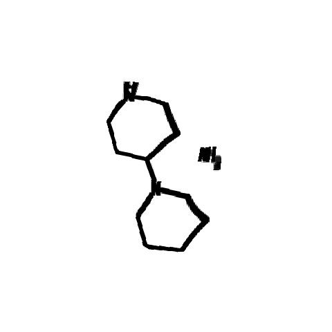 C1CCN(C2CCNCC2)CC1.N